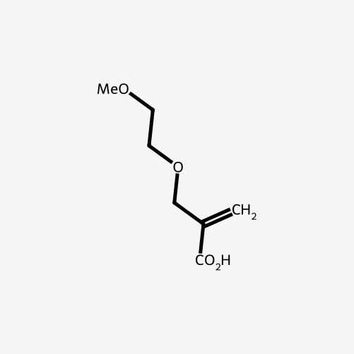 C=C(COCCOC)C(=O)O